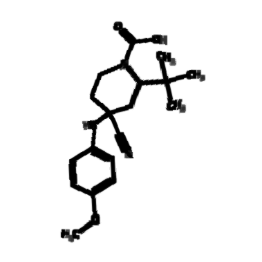 COc1ccc(NC2(C#N)CCN(C(=O)O)C(C(C)(C)C)C2)cc1